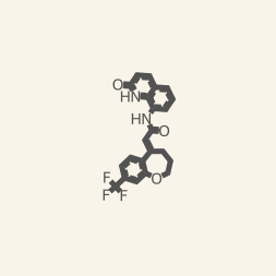 O=C(C=C1CCCOc2cc(C(F)(F)F)ccc21)Nc1cccc2ccc(=O)[nH]c12